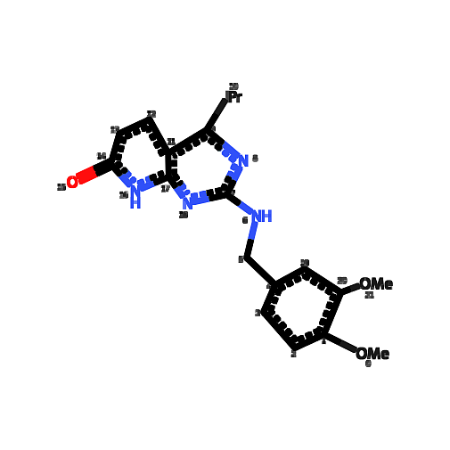 COc1ccc(CNc2nc(C(C)C)c3ccc(=O)[nH]c3n2)cc1OC